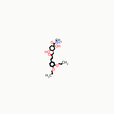 C=CCOc1ccc(/C=C/C(=O)C[C@@H]2C[C@](O)(C(=O)NC)CC[C@H]2O)cc1OCC=C